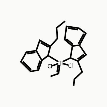 C[CH]=[Ti]([Cl])([Cl])([CH]1C(CCC)=Cc2ccccc21)[CH]1C(CCC)=Cc2ccccc21